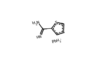 N=C(N)c1cccs1.[PbH2]